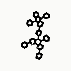 c1ccc(-c2ccc3c(n2)-c2nc(-c4ccccc4)ccc2C(c2ccc(-c4ccc5c(-c6ccccc6)c6ccccc6c(-c6ccccc6)c5c4)cc2)C3c2ccccc2)cc1